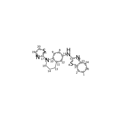 c1ccc2sc(Nc3ccc4c(c3)CCCN4c3nccs3)nc2c1